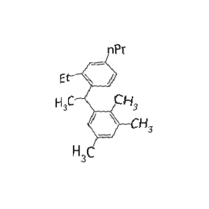 CCCc1ccc(C(C)c2cc(C)cc(C)c2C)c(CC)c1